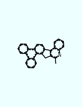 Cc1nc2ccccc2c2c1Cc1c-2ccc2c3ccccc3c3ccccc3c12